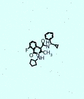 Cc1c(C(=O)N[C@H](c2ccccc2)C2CC2)c2cccc(F)c2c(=O)n1NC1CCCC1